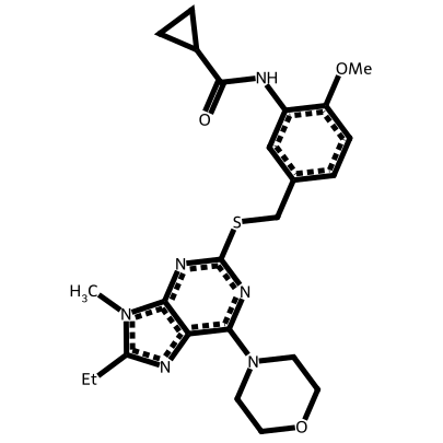 CCc1nc2c(N3CCOCC3)nc(SCc3ccc(OC)c(NC(=O)C4CC4)c3)nc2n1C